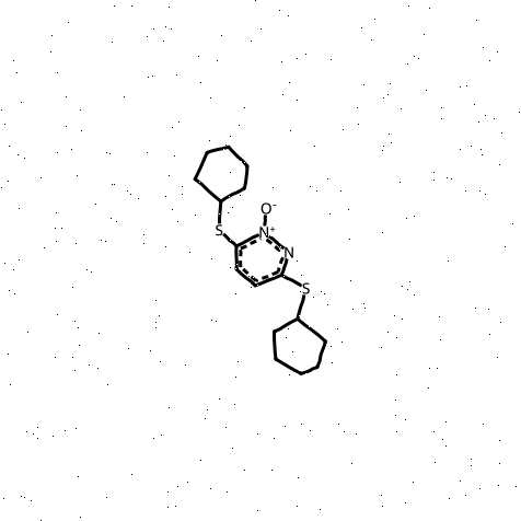 [O-][n+]1nc(SC2CCCCC2)ccc1SC1CCCCC1